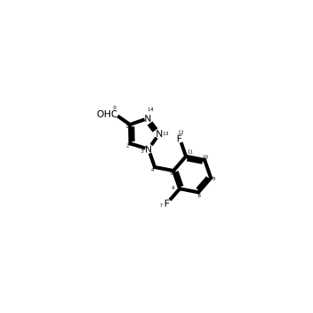 O=Cc1cn(Cc2c(F)cccc2F)nn1